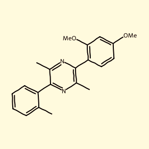 COc1ccc(-c2nc(C)c(-c3ccccc3C)nc2C)c(OC)c1